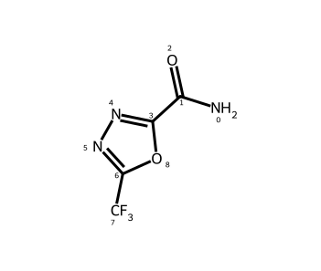 NC(=O)c1nnc(C(F)(F)F)o1